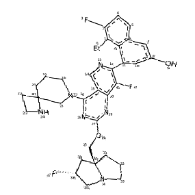 CCc1c(F)ccc2cc(O)cc(-c3ncc4c(N5CCCC6(CCN6)C5)nc(OC[C@@]56CCCN5C[C@H](F)C6)nc4c3F)c12